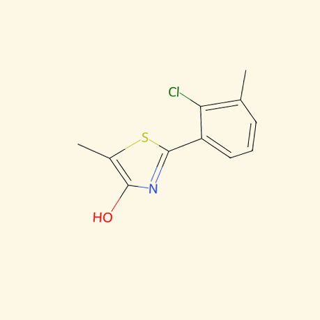 Cc1cccc(-c2nc(O)c(C)s2)c1Cl